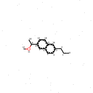 CCCc1ccc2cc(C(C)OC)ccc2c1